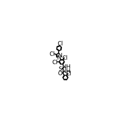 O=C(NC(=S)Nc1cc(Cl)c(-n2cc(Cl)c(-c3ccc(Cl)cc3)n2)c(Cl)c1)c1ccccc1Cl